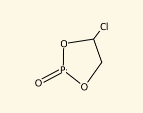 O=[P]1OCC(Cl)O1